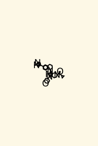 Cn1cc(-c2ccc3c(c2)CCCN3c2nn(C3CCOCC3)c3c2CN(C(=O)C2CC2)CC3)cn1